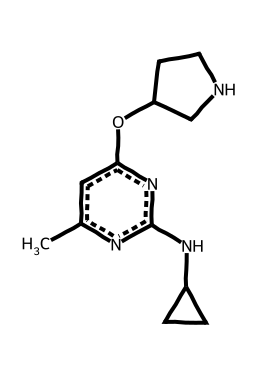 Cc1cc(OC2CCNC2)nc(NC2CC2)n1